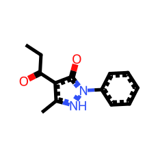 CCC(=O)c1c(C)[nH]n(-c2ccccc2)c1=O